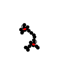 c1ccc(N(c2ccc(-c3ccc(-c4ccc5ccc(-c6ccc7c(c6)oc6cccc(-c8ccccc8N(c8ccc(-c9ccc%10ccccc%10c9)cc8)c8ccc(-n9c%10ccccc%10c%10ccccc%109)cc8)c67)cc5c4)cc3)cc2)c2ccc(-n3c4ccccc4c4ccccc43)cc2)c(-c2cccc3oc4ccccc4c23)c1